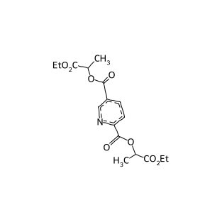 CCOC(=O)C(C)OC(=O)c1ccc(C(=O)OC(C)C(=O)OCC)nc1